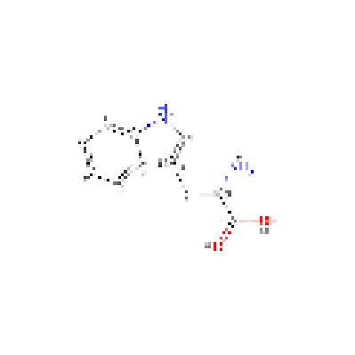 N[C@@H](C[14c]1c[nH]c2ccccc21)C(=O)O